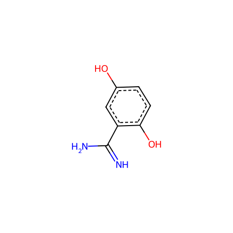 N=C(N)c1cc(O)ccc1O